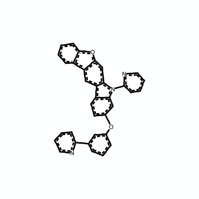 c1ccc(-c2cccc(Oc3ccc4c5cc6c(cc5n(-c5ccccn5)c4c3)oc3ccccc36)c2)nc1